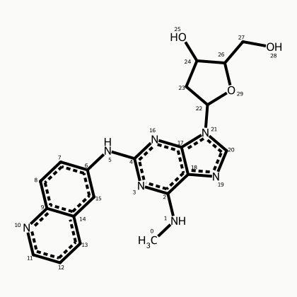 CNc1nc(Nc2ccc3ncccc3c2)nc2c1ncn2C1CC(O)C(CO)O1